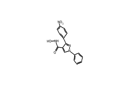 O=C(NO)c1cn(-c2ccccc2)nc1-c1ccc([N+](=O)[O-])cc1